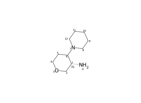 N[C@@H]1COCCC1N1CCCCC1